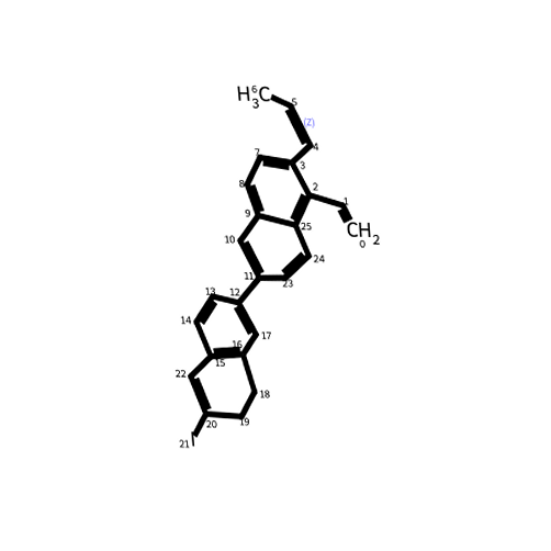 C=Cc1c(/C=C\C)ccc2cc(-c3ccc4c(c3)CCC(I)=C4)ccc12